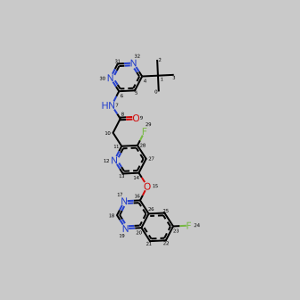 CC(C)(C)c1cc(NC(=O)Cc2ncc(Oc3ncnc4ccc(F)cc34)cc2F)ncn1